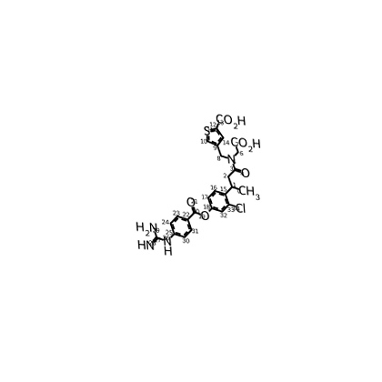 CC(CC(=O)N(CC(=O)O)Cc1csc(C(=O)O)c1)c1ccc(OC(=O)c2ccc(NC(=N)N)cc2)cc1Cl